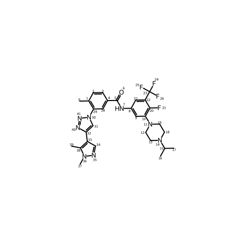 Cc1ccc(C(=O)Nc2cc(N3CCN(C(C)C)CC3)c(F)c(C(F)(F)F)c2)cc1-n1cc(-c2cnn(C)c2C)nn1